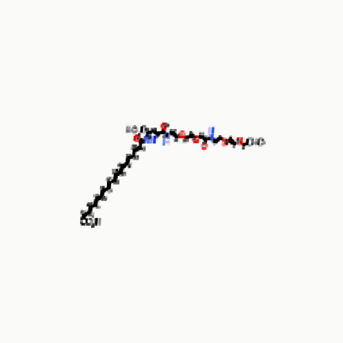 O=[C]COCCOCCNC(=O)COCCOCCNC(=O)CC[C@H](NC(=O)CCCCCCCCCCCCCCCCCCC(=O)O)C(=O)O